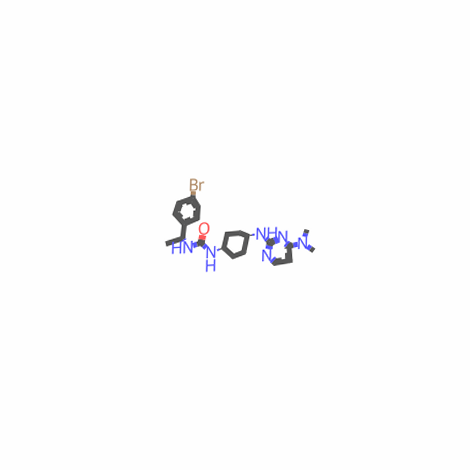 CC(NC(=O)N[C@H]1CC[C@@H](Nc2nccc(N(C)C)n2)CC1)c1ccc(Br)cc1